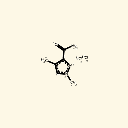 Cc1cn(C)nc1C(N)=O.Cl.Cl